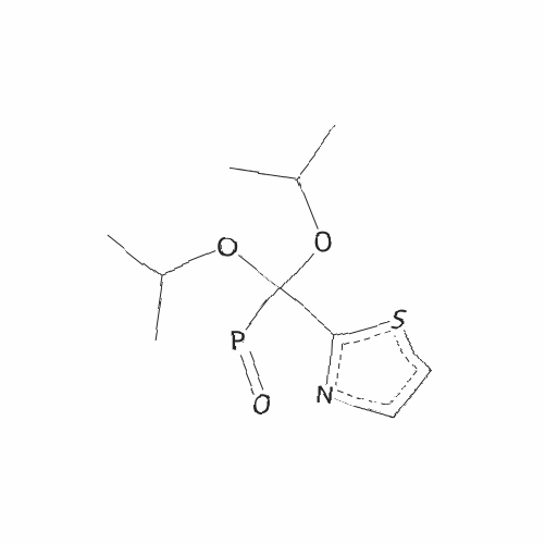 CC(C)OC(OC(C)C)(P=O)c1nccs1